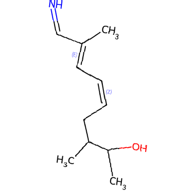 C/C(C=N)=C\C=C/CC(C)C(C)O